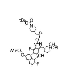 C#Cc1c(F)ccc2cc(OCOC)cc(-c3ccc4c(N5CCCC(C)(O)C5)nc(OCC5(CC6CCN(C(=O)OC(C)(C)C)CC6)CC5)nc4c3F)c12